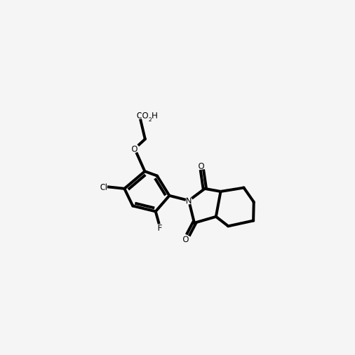 O=C(O)COc1cc(N2C(=O)C3CCCCC3C2=O)c(F)cc1Cl